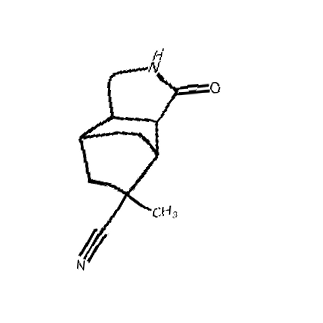 CC1(C#N)CC2CCC1C1C(=O)NCC21